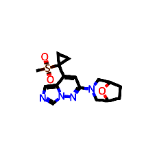 CS(=O)(=O)C1(c2cc(N3CC4CCC(C3)O4)nn3cncc23)CC1